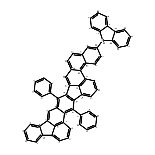 c1ccc(-c2c3cc4c5ccccc5c5cccc(c3c(-c3ccccc3)c3c6cccc7c8c(ccc9cc(-n%10c%11ccccc%11c%11ccccc%11%10)ccc98)cc(c23)c67)c54)cc1